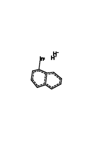 [H-].[H-].[In][c]1cccc2ccccc12